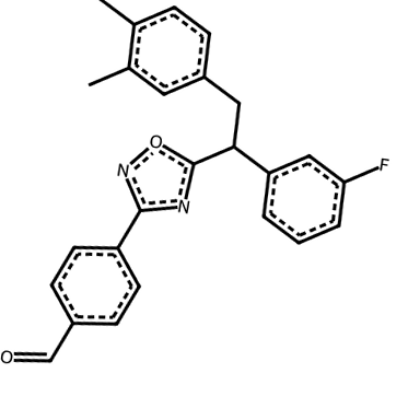 Cc1ccc(CC(c2cccc(F)c2)c2nc(-c3ccc(C=O)cc3)no2)cc1C